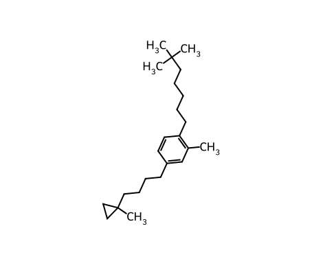 Cc1cc(CCCCC2(C)CC2)ccc1CCCCCC(C)(C)C